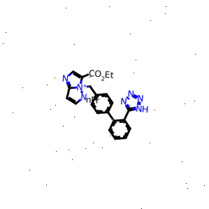 CCCN1C=CC2=NC=C(C(=O)OCC)[N+]21Cc1ccc(-c2ccccc2-c2nnn[nH]2)cc1